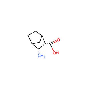 N[C@@H]1C2CCC(C2)[C@@H]1C(=O)O